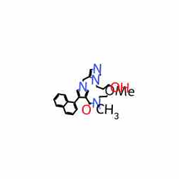 COCCN(C)C(=O)c1cn(Cc2cncn2CCCO)cc1-c1cccc2ccccc12